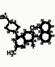 Cc1nc(N2CCN(C(C)(C)C)CC2)c2cnc(-c3cccc4cccc(Cl)c34)c(F)c2n1